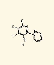 Clc1nc(-c2ccccn2)c(Cl)c(Cl)c1Cl.[Ni]